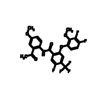 COc1ccc(NC(=O)c2cc(F)c(C(F)(F)F)cc2Oc2ccc(F)c(F)c2OC)c(C(C)=O)c1